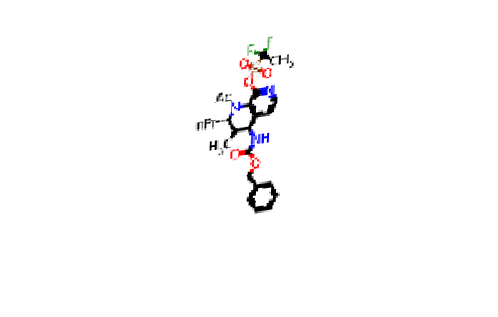 CCC[C@H]1C(C)C(NC(=O)OCc2ccccc2)c2ccnc(OS(=O)(=O)C(C)(F)F)c2N1C(C)=O